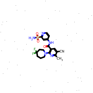 Cc1nc(N2CCCC(F)(F)CC2)c(C(=O)Nc2ccnc(S(N)(=O)=O)c2)cc1C#N